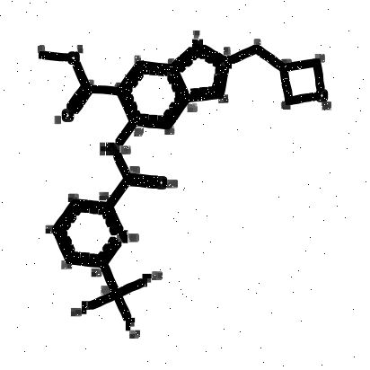 COC(=O)c1cc2nn(CC3COC3)cc2cc1NC(=O)c1cccc(C(F)(F)F)n1